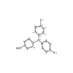 Oc1ccc([S+](c2ccc(F)cc2)c2ccc(F)cc2)cc1